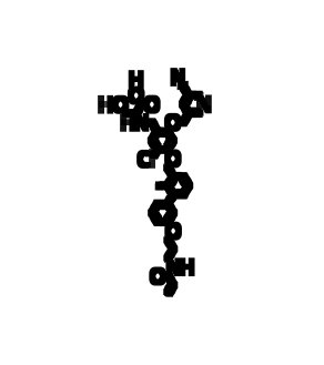 C=CC(=O)NCCCOc1cccc(-c2cccc(COc3cc(OCc4cncc(C#N)c4)c(CNC(CO)C(=O)O)cc3Cl)c2C)c1